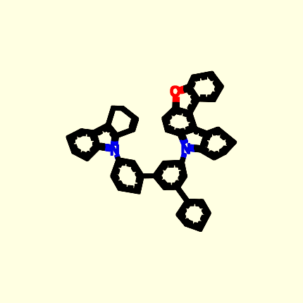 C1=Cc2c(c3ccccc3n2-c2cccc(-c3cc(-c4ccccc4)cc(-n4c5ccccc5c5c6c(ccc54)oc4ccccc46)c3)c2)CC1